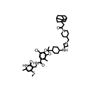 CSc1cc(C)[nH]c(=O)c1CNC(=O)c1cc(Cl)c2c(c1C)OC(C)(C1CCC(NC3CN(CC4CCN(C(=O)CC56CC7CC(CC(C7)C5)C6)CC4)C3)CC1)O2